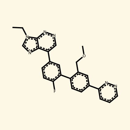 CCn1cnc2c(-c3ccc(F)c(-c4ccc(-c5cccnn5)cc4COC)c3)cnnc21